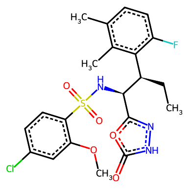 CC[C@H](c1c(F)ccc(C)c1C)[C@H](NS(=O)(=O)c1ccc(Cl)cc1OC)c1n[nH]c(=O)o1